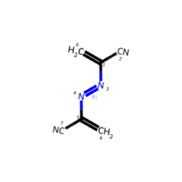 C=C(C#N)/N=N/C(=C)C#N